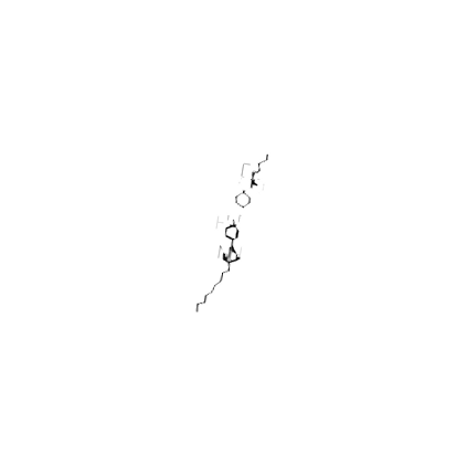 CCCCCCCCCc1cnc(-c2ccc(OC[C@H]3CC[C@H](OC(=O)[C@@H](F)CCCC)CC3)c(F)c2)nc1